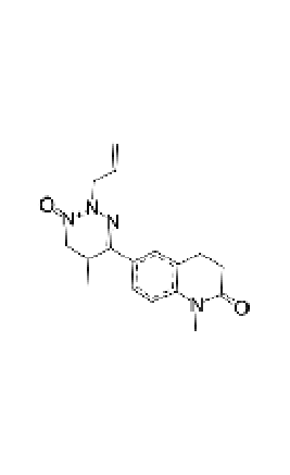 C=CCN1N=C(c2ccc3c(c2)CCC(=O)N3C)C(C)C[N+]1=O